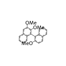 COc1cc2ccccc2c(-c2c(OC)ccc3ccccc23)c1OC